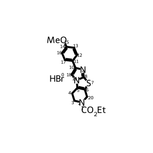 Br.CCOC(=O)N1CCc2c(sc3nc(-c4ccc(OC)cc4)cn23)C1